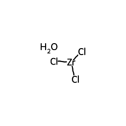 O.[Cl][Zr]([Cl])[Cl]